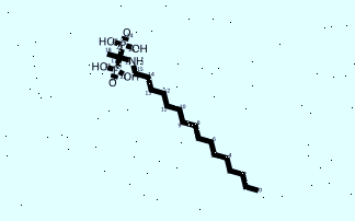 CCCCCCCCCCCCCCCCNC(C)(P(=O)(O)O)P(=O)(O)O